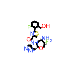 N[C@@H]1CC[C@@H](Cc2[nH]ncc2NC(=O)c2csc(-c3c(F)cccc3CO)n2)OC[C@H]1F